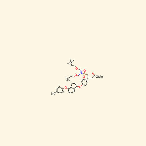 COC(=O)CC(CS(=O)(=O)N(COCC[Si](C)(C)C)COCC[Si](C)(C)C)c1ccc(OC2CCc3c(Oc4ccc(C#N)cc4)cccc32)cc1